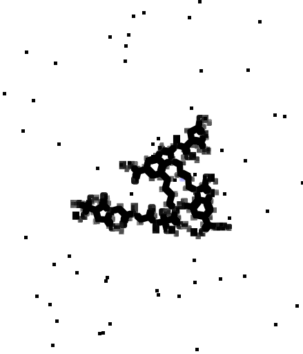 C=C(Nc1nc2cc(C(N)=O)cc(CCCCOC(=C)C(C)(C)NC(=O)CNC(=O)CN3C(=C)CC(C(C)(C)S)C3=O)c2n1C/C=C/Cn1c(C)nc2cc(C(=C)NC)cc(CC)c21)C1=C(CC)N=C(C)C1